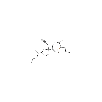 C#CC1C(CC(C)C(CCC)SC)C(=C)C12CCC(C(C)CCC)C2